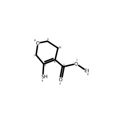 CCOC(=O)C1=C(S)COCC1